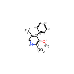 CCOc1c([N+](=O)[O-])ncc(C(F)(F)F)c1-c1ccccc1